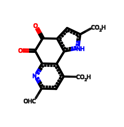 O=Cc1cc(C(=O)O)c2c(n1)C(=O)C(=O)c1cc(C(=O)O)[nH]c1-2